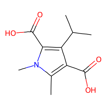 Cc1c(C(=O)O)c(C(C)C)c(C(=O)O)n1C